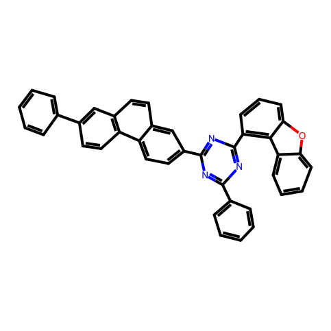 c1ccc(-c2ccc3c(ccc4cc(-c5nc(-c6ccccc6)nc(-c6cccc7oc8ccccc8c67)n5)ccc43)c2)cc1